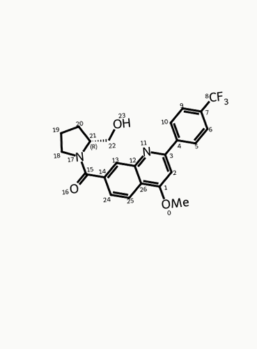 COc1cc(-c2ccc(C(F)(F)F)cc2)nc2cc(C(=O)N3CCC[C@@H]3CO)ccc12